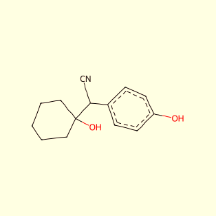 N#CC(c1ccc(O)cc1)C1(O)CCCCC1